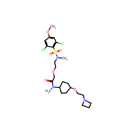 COc1cc(Cl)c(S(=O)(=O)N(C)CCOCC(=O)N(C)C2CCC(OCCN3CCC3)CC2)c(Cl)c1